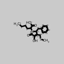 CCCCC(C(=O)O)N1C(=O)C(O)=C(CSC)C1Cc1ccccc1